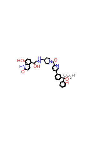 O=C(c1ccc(-c2cccc([C@](O)(C(=O)O)c3ccccc3)c2)cn1)N1CCC(CNC[C@H](O)c2ccc(O)c3[nH]c(=O)ccc23)CC1